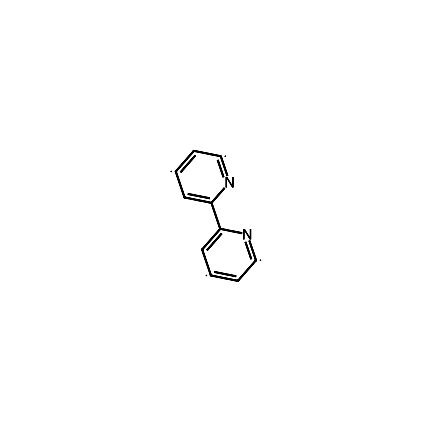 [c]1c[c]nc(-c2c[c]c[c]n2)c1